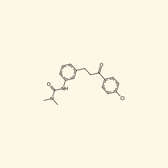 CN(C)C(=O)Nc1cccc(CCC(=O)c2ccc(Cl)cc2)c1